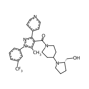 Cc1c(C(=O)N2CCC(N3CCC[C@H]3CO)CC2)c(-c2ccncc2)nn1-c1cccc(C(F)(F)F)c1